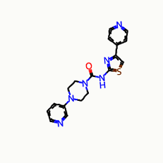 O=C(Nc1nc(-c2ccncc2)cs1)N1CCN(c2cccnc2)CC1